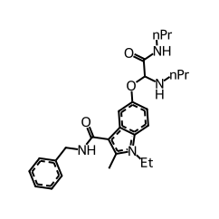 CCCNC(=O)C(NCCC)Oc1ccc2c(c1)c(C(=O)NCc1ccccc1)c(C)n2CC